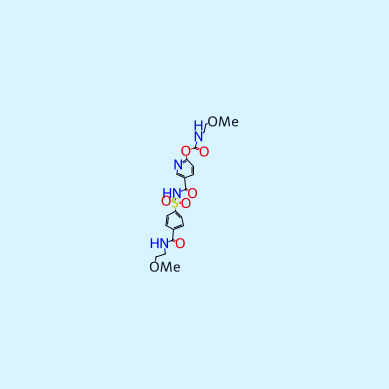 COCCNC(=O)Oc1ccc(C(=O)NS(=O)(=O)c2ccc(C(=O)NCCOC)cc2)cn1